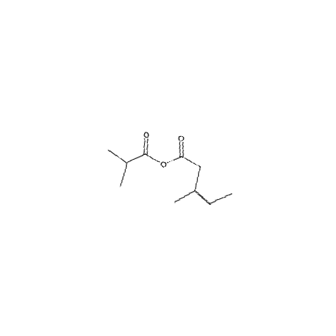 CCC(C)CC(=O)OC(=O)C(C)C